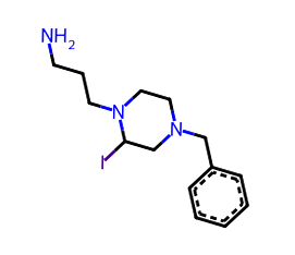 NCCCN1CCN(Cc2ccccc2)CC1I